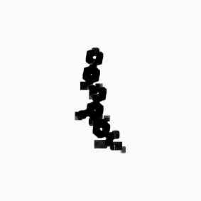 C[C@@H](O)C(=O)N1CCC(Oc2ccc(-c3ccnc(Nc4ccc(N5CCOCC5)cc4)n3)cc2C#N)C(F)(F)C1